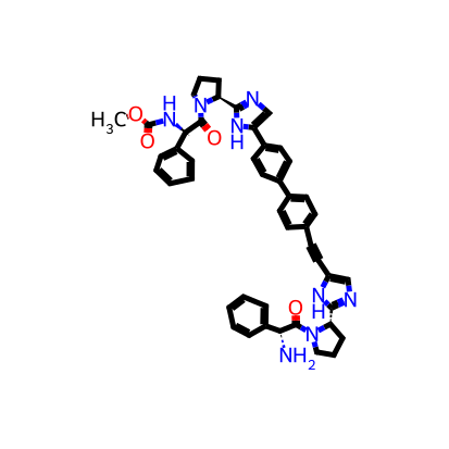 COC(=O)N[C@@H](C(=O)N1CCC[C@H]1c1ncc(-c2ccc(-c3ccc(C#Cc4cnc([C@@H]5CCCN5C(=O)[C@H](N)c5ccccc5)[nH]4)cc3)cc2)[nH]1)c1ccccc1